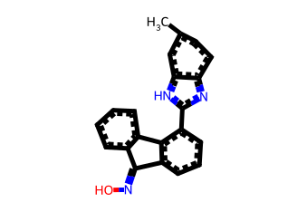 Cc1ccc2nc(-c3cccc4c3-c3ccccc3C4=NO)[nH]c2c1